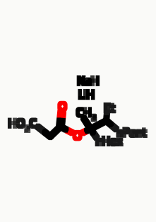 CCCCCCC(C)(OC(=O)CC(=O)O)C(CC)CCCCC.[LiH].[NaH]